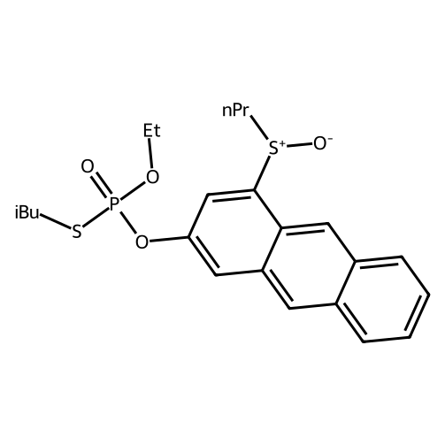 CCC[S+]([O-])c1cc(OP(=O)(OCC)SC(C)CC)cc2cc3ccccc3cc12